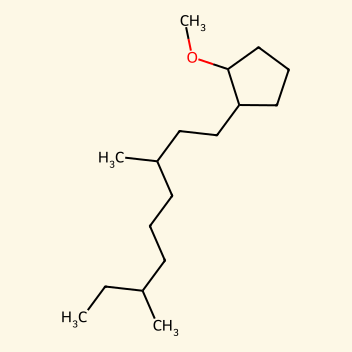 CCC(C)CCCC(C)CCC1CCCC1OC